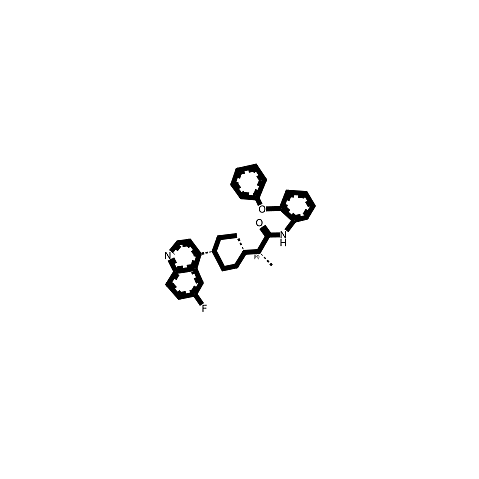 C[C@@H](C(=O)Nc1ccccc1Oc1ccccc1)[C@H]1CC[C@@H](c2ccnc3ccc(F)cc32)CC1